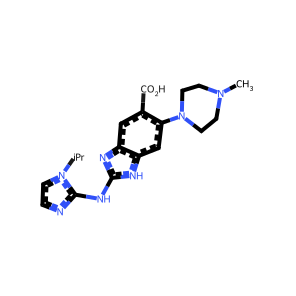 CC(C)n1ccnc1Nc1nc2cc(C(=O)O)c(N3CCN(C)CC3)cc2[nH]1